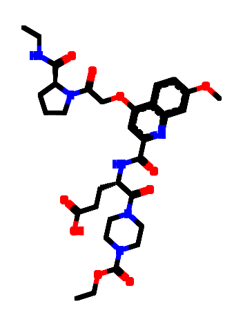 CCNC(=O)[C@@H]1CCCN1C(=O)COc1cc(C(=O)N[C@@H](CCC(=O)O)C(=O)N2CCN(C(=O)OCC)CC2)nc2cc(OC)ccc12